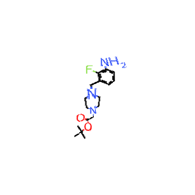 CC(C)(C)OC(=O)CN1CCN(Cc2cccc(N)c2F)CC1